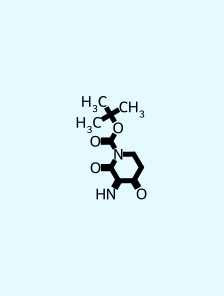 CC(C)(C)OC(=O)N1CCC(=O)C(=N)C1=O